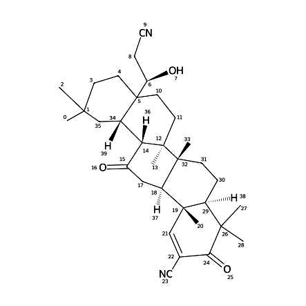 CC1(C)CCC2([C@H](O)CC#N)CC[C@]3(C)[C@H](C(=O)C[C@@H]4[C@@]5(C)C=C(C#N)C(=O)C(C)(C)[C@@H]5CC[C@]43C)[C@@H]2C1